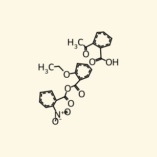 CC(=O)c1ccccc1C(=O)O.CCOc1ccccc1C(=O)OC(=O)c1ccccc1[N+](=O)[O-]